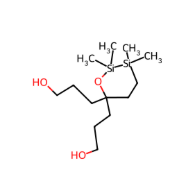 C[Si]1(C)CCC(CCCO)(CCCO)O[Si]1(C)C